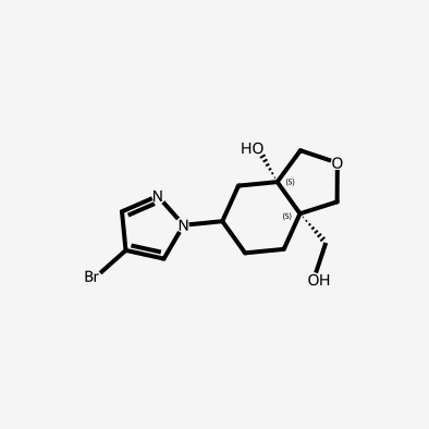 OC[C@]12CCC(n3cc(Br)cn3)C[C@@]1(O)COC2